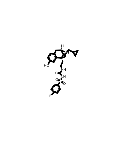 C[C@H]1[C@H]2Cc3ccc(O)cc3[C@@]1(CCNC(=O)NS(=O)(=O)c1ccc(F)cc1)CN2CC1CC1